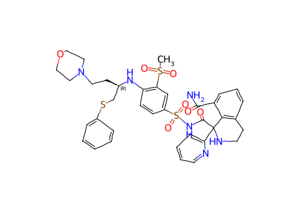 CS(=O)(=O)c1cc(S(=O)(=O)NC(=O)C2(c3ccccn3)NCCc3cccc(C(N)=O)c32)ccc1N[C@H](CCN1CCOCC1)CSc1ccccc1